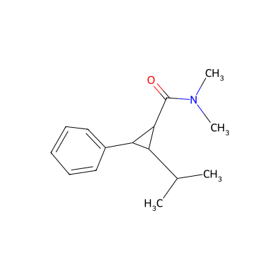 CC(C)C1C(C(=O)N(C)C)C1c1ccccc1